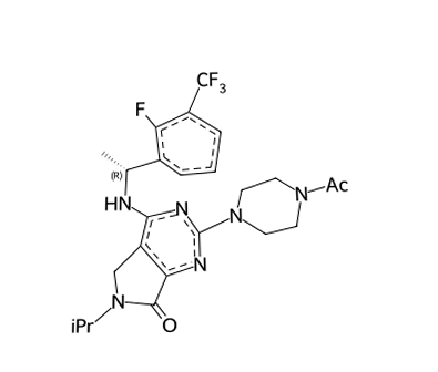 CC(=O)N1CCN(c2nc(N[C@H](C)c3cccc(C(F)(F)F)c3F)c3c(n2)C(=O)N(C(C)C)C3)CC1